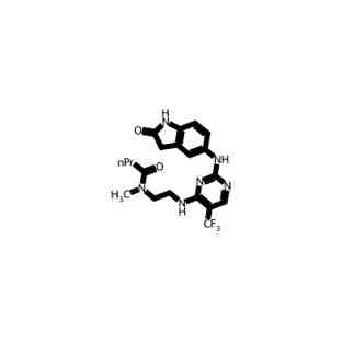 CCCC(=O)N(C)CCNc1nc(Nc2ccc3c(c2)CC(=O)N3)ncc1C(F)(F)F